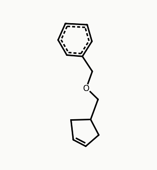 C1=CCC(COCc2ccccc2)C1